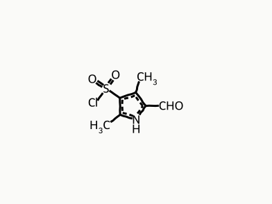 Cc1[nH]c(C=O)c(C)c1S(=O)(=O)Cl